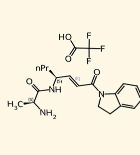 CCC[C@@H](/C=C/C(=O)N1CCc2ccccc21)NC(=O)[C@H](C)N.O=C(O)C(F)(F)F